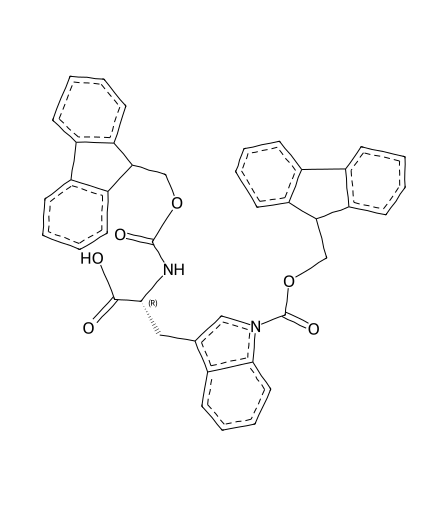 O=C(N[C@H](Cc1cn(C(=O)OCC2c3ccccc3-c3ccccc32)c2ccccc12)C(=O)O)OCC1c2ccccc2-c2ccccc21